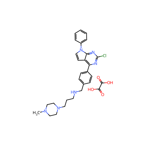 CN1CCN(CCCNCc2ccc(-c3nc(Cl)nc4c3ccn4-c3ccccc3)cc2)CC1.O=C(O)C(=O)O